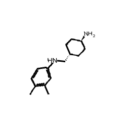 Cc1ccc(NC[C@H]2CC[C@H](N)CC2)cc1C